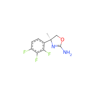 C[C@]1(c2ccc(F)c(F)c2F)COC(N)=N1